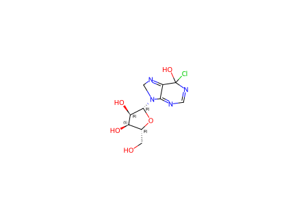 OC[C@H]1O[C@@H](N2CN=C3C2=NC=NC3(O)Cl)[C@H](O)[C@@H]1O